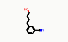 N#Cc1cccc(CCCCO)c1